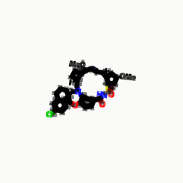 CO[C@H]1C[C@@H]2C/C=C/[C@H](OC)[C@@H]3CC[C@H]3CN3C[C@@]4(CCCc5cc(Cl)ccc54)COc4ccc(cc43)C(=O)NS(=O)(=O)[C@H]2C1